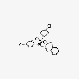 O=S(=O)(c1ccc(Cl)cc1)N(CC1=Cc2ccccc2CC1)c1ccc(Cl)cc1